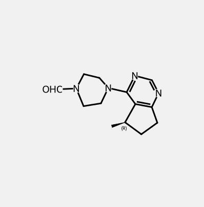 C[C@@H]1CCc2ncnc(N3CCN(C=O)CC3)c21